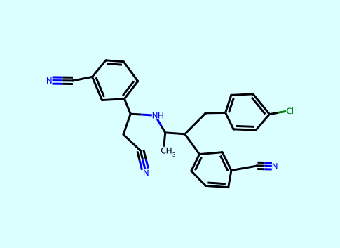 CC(NC(CC#N)c1cccc(C#N)c1)C(Cc1ccc(Cl)cc1)c1cccc(C#N)c1